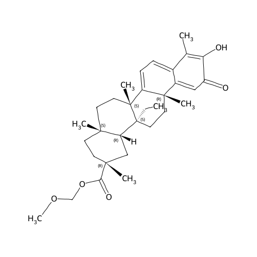 CC[C@@]12CC[C@@]3(C)C4=CC(=O)C(O)=C(C)C4=CC=C3[C@@]1(C)CC[C@@]1(C)CC[C@@](C)(C(=O)OCOC)C[C@H]12